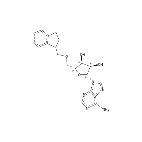 Nc1ncnc2c1ncn2[C@@H]1O[C@H](COCC2CCc3ccccc32)[C@@H](O)[C@H]1O